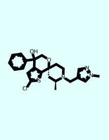 C[C@H]1C[C@@]2(CCN1Cc1cnn(C)c1)OCC(O)(c1ccccc1)c1cc(Cl)sc12